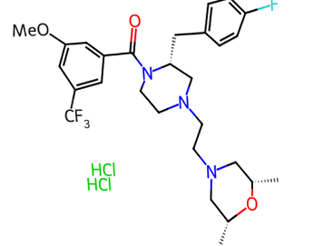 COc1cc(C(=O)N2CCN(CCN3C[C@@H](C)O[C@@H](C)C3)C[C@H]2Cc2ccc(F)cc2)cc(C(F)(F)F)c1.Cl.Cl